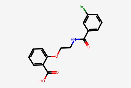 O=C(NCCOc1ccccc1C(=O)O)c1cccc(Br)c1